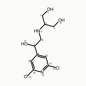 OCC(CO)NCC(O)c1cc(Cl)nc(Cl)c1